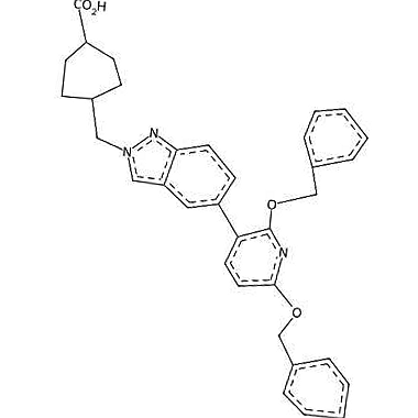 O=C(O)C1CCC(Cn2cc3cc(-c4ccc(OCc5ccccc5)nc4OCc4ccccc4)ccc3n2)CC1